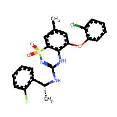 Cc1cc(Oc2ccccc2Cl)c2c(c1)S(=O)(=O)N=C(N[C@H](C)c1ccccc1F)N2